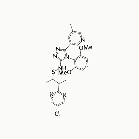 COc1cccc(OC)c1-n1c(NSC(C)C(C)c2ncc(Cl)cn2)nnc1-c1cncc(C)c1